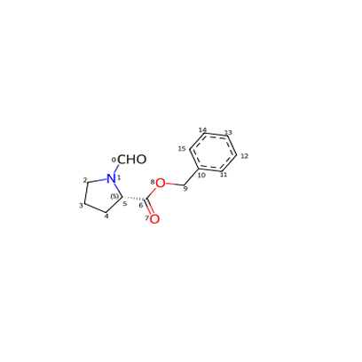 O=CN1CCC[C@H]1C(=O)OCc1ccccc1